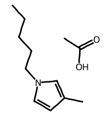 CC(=O)O.CCCCCn1ccc(C)c1